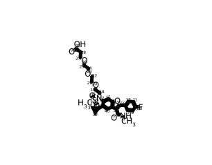 CNC(=O)c1c(-c2ccc(F)cc2)oc2cc(N(CCOCCOCCOCCC(=O)O)S(C)(=O)=O)c(C3CC3)cc12